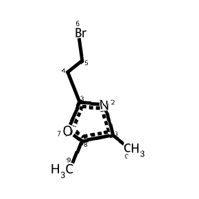 Cc1nc(CCBr)oc1C